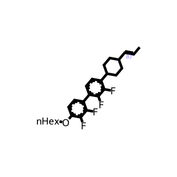 C/C=C/C1CCC(c2ccc(-c3ccc(OCCCCCC)c(F)c3F)c(F)c2F)CC1